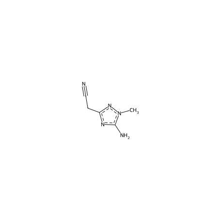 Cn1nc(CC#N)nc1N